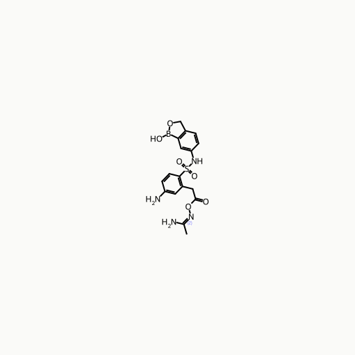 C/C(N)=N/OC(=O)Cc1cc(N)ccc1S(=O)(=O)Nc1ccc2c(c1)B(O)OC2